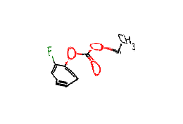 C[CH]OC(=O)Oc1ccccc1F